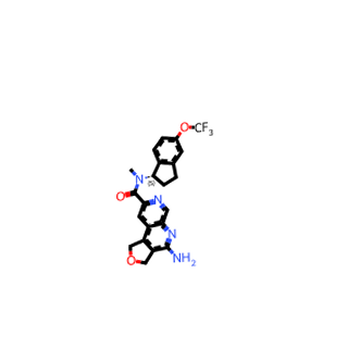 CN(C(=O)c1cc2c3c(c(N)nc2cn1)COC3)[C@H]1CCc2cc(OC(F)(F)F)ccc21